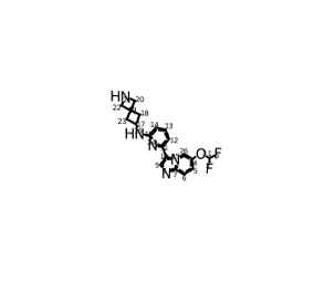 FC(F)Oc1ccc2ncc(-c3cccc(NC4CC5(CNC5)C4)n3)n2c1